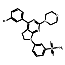 NS(=O)(=O)c1cccc(N2CCc3c(-c4cccc(O)c4)nc(N4CCOCC4)nc32)c1